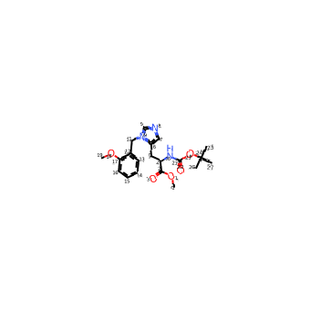 COC(=O)C(Cc1cncn1Cc1ccccc1OC)NC(=O)OC(C)(C)C